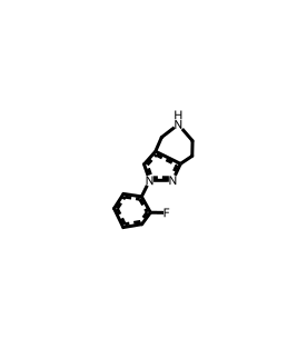 Fc1ccccc1-n1cc2c(n1)CCNC2